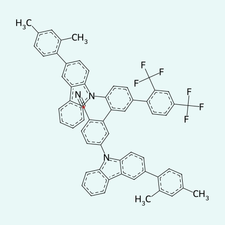 Cc1ccc(-c2ccc3c(c2)c2ccccc2n3-c2ccc(C#N)c(-c3cc(-c4ccc(C(F)(F)F)cc4C(F)(F)F)ccc3-n3c4ccccc4c4cc(-c5ccc(C)cc5C)ccc43)c2)c(C)c1